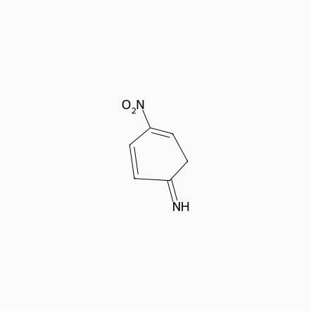 N=C1C=CC([N+](=O)[O-])=CC1